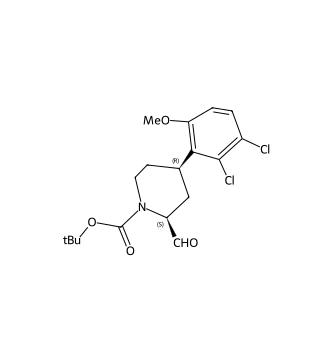 COc1ccc(Cl)c(Cl)c1[C@@H]1CCN(C(=O)OC(C)(C)C)[C@H](C=O)C1